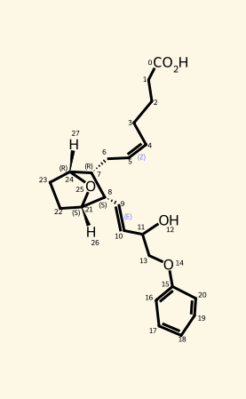 O=C(O)CCC/C=C\C[C@@H]1[C@H](/C=C/C(O)COc2ccccc2)[C@@H]2CC[C@H]1O2